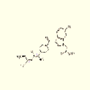 C=C/C(=C\C(Cl)=C(/N)N1CCN(C(=O)c2cn(CC(=O)NC)c3cc(Cl)ccc23)CC1)C(F)(F)F